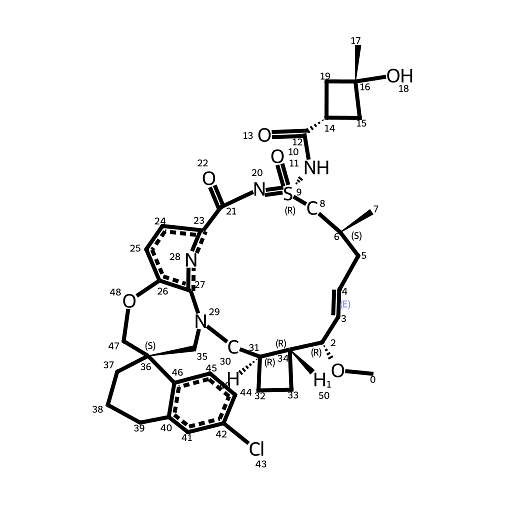 CO[C@H]1/C=C/C[C@H](C)C[S@@](=O)(NC(=O)[C@H]2C[C@@](C)(O)C2)=NC(=O)c2ccc3c(n2)N(C[C@@H]2CC[C@H]21)C[C@@]1(CCCc2cc(Cl)ccc21)CO3